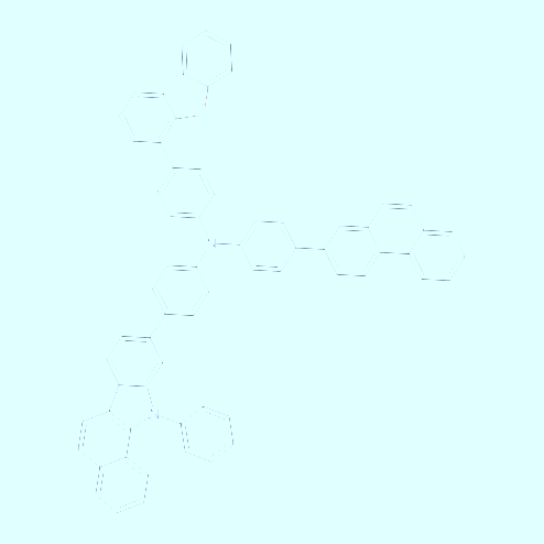 c1ccc(-n2c3cc(-c4ccc(N(c5ccc(-c6ccc7c(ccc8ccccc87)c6)cc5)c5ccc(-c6cccc7c6oc6ccccc67)cc5)cc4)ccc3c3ccc4ccccc4c32)cc1